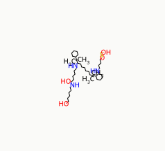 CC(C)(CCCCCCC(NCCCCCC(O)NCCCCCCO)C(C)(C)C1CCCCC1)C1CCCCC1NCCCCOSO